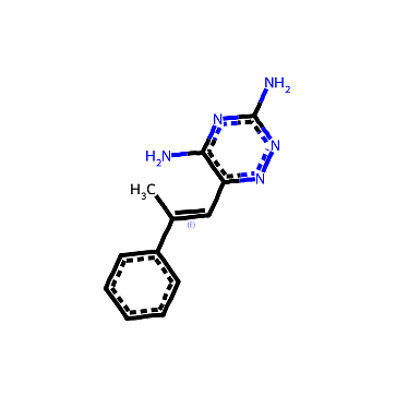 C/C(=C\c1nnc(N)nc1N)c1ccccc1